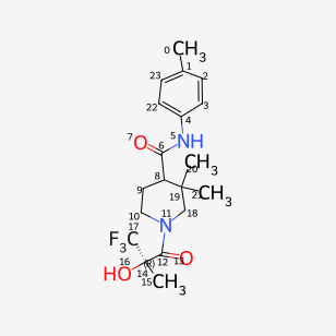 Cc1ccc(NC(=O)C2CCN(C(=O)[C@@](C)(O)C(F)(F)F)CC2(C)C)cc1